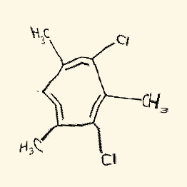 Cc1[c]c(C)c(Cl)c(C)c1Cl